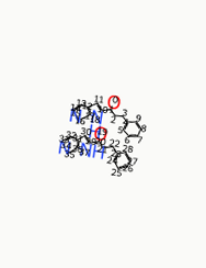 O=C(CCc1ccccc1)c1cc2ccncc2[nH]1.O=C(CCc1ccccc1)c1cc2ccncc2[nH]1